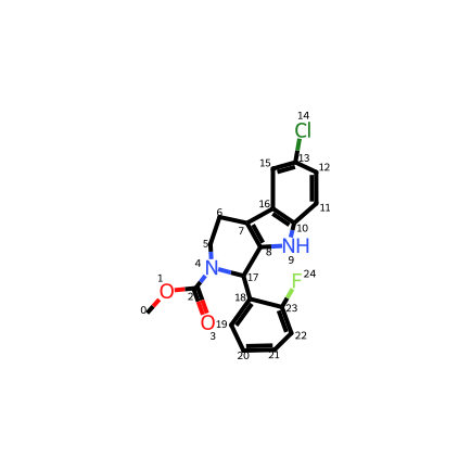 COC(=O)N1CCc2c([nH]c3ccc(Cl)cc23)C1c1ccccc1F